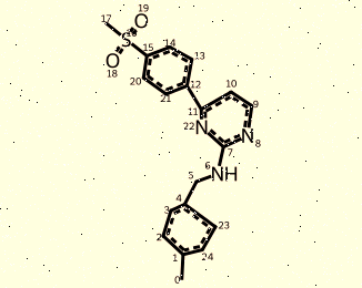 Cc1ccc(CNc2nccc(-c3ccc(S(C)(=O)=O)cc3)n2)cc1